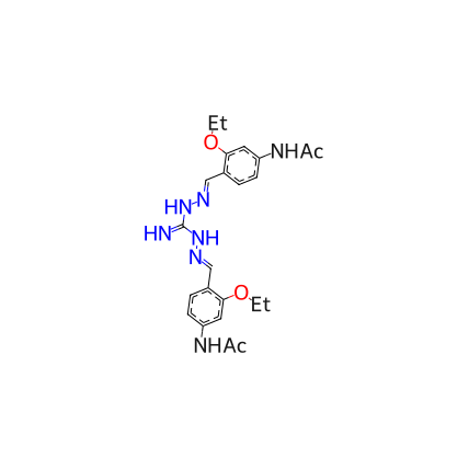 CCOc1cc(NC(C)=O)ccc1C=NNC(=N)NN=Cc1ccc(NC(C)=O)cc1OCC